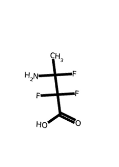 CC(N)(F)C(F)(F)C(=O)O